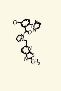 Cc1nc2ccc(CN3CCCN3C(=O)c3cc(Cl)ccc3-n3nccn3)nc2s1